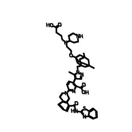 Cc1c(-c2ccc(N3CCc4cccc(C(=O)Nc5nc6ccccc6s5)c4C3)nc2C(=O)O)cnn1CC12CC3(C)CC(C)(C1)CC(OCCN(CCCC(=O)O)C1CCNCC1)(C3)C2